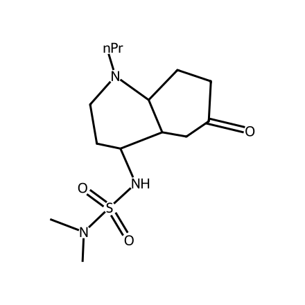 CCCN1CCC(NS(=O)(=O)N(C)C)C2CC(=O)CCC21